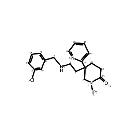 CC(C)N1CC(CCNCc2cccc(Cl)c2)(c2ccccn2)CCC1=O